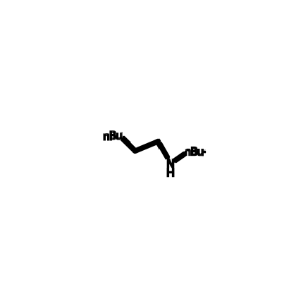 CCC[CH]NCCCCCC